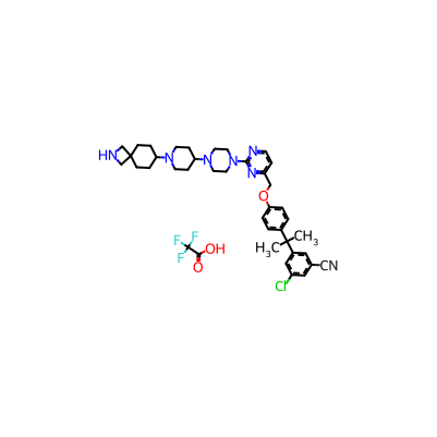 CC(C)(c1ccc(OCc2ccnc(N3CCN(C4CCN(C5CCC6(CC5)CNC6)CC4)CC3)n2)cc1)c1cc(Cl)cc(C#N)c1.O=C(O)C(F)(F)F